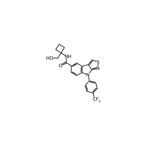 O=C(NC1(CO)CCC1)c1ccc2c(c1)c1csnc1n2-c1ccc(C(F)(F)F)cc1